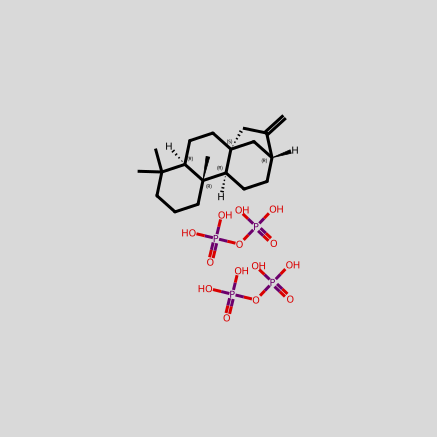 C=C1C[C@@]23CC[C@@H]4C(C)(C)CCC[C@@]4(C)[C@@H]2CC[C@@H]1C3.O=P(O)(O)OP(=O)(O)O.O=P(O)(O)OP(=O)(O)O